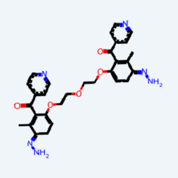 CC1=C(C(=O)c2ccncc2)C(OCCOCCOC2=CCC(=NN)C(C)=C2C(=O)c2ccncc2)=CCC1=NN